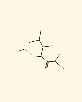 CCNC(C(=O)C(C)C)C(S)C(C)C